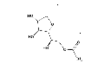 CC(=O)OC[C@@H](O)[C@H]1OCC(O)C1O